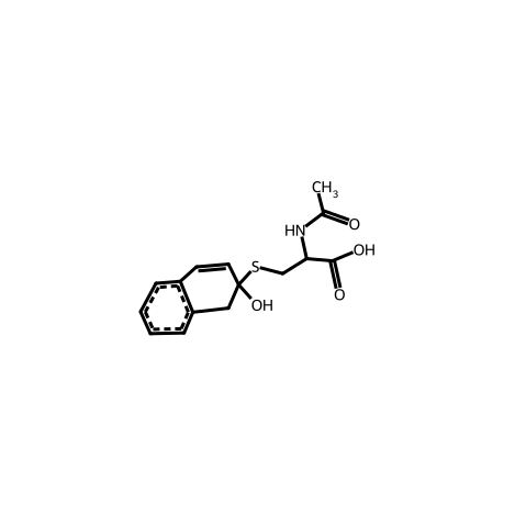 CC(=O)NC(CSC1(O)C=Cc2ccccc2C1)C(=O)O